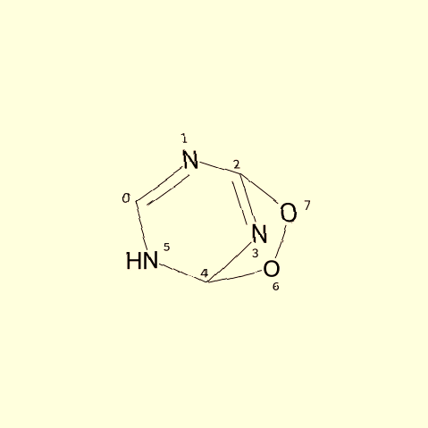 C1=NC2=NC(N1)OO2